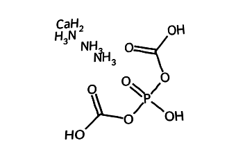 N.N.N.O=C(O)OP(=O)(O)OC(=O)O.[CaH2]